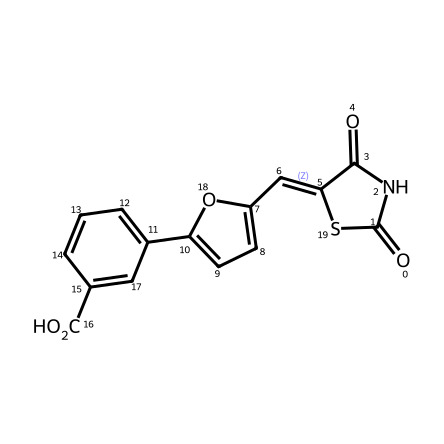 O=C1NC(=O)/C(=C/c2ccc(-c3cccc(C(=O)O)c3)o2)S1